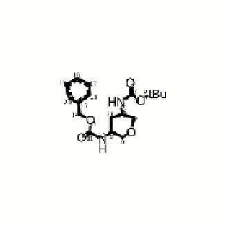 CC(C)(C)OC(=O)NC1COCC(NC(=O)OCc2ccccc2)C1